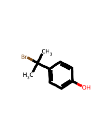 CC(C)(Br)c1ccc(O)cc1